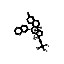 BC(B)(B)C#C[C@]1(O)CC[C@H]2[C@@H]3CCC4=CC(=O)CCC4=C3[C@@H](c3ccc4c(c3)OCCO4)C[C@@]21C